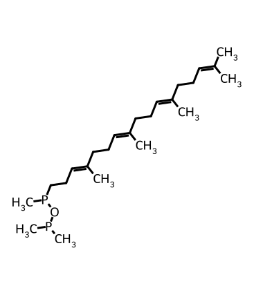 CC(C)=CCC/C(C)=C/CC/C(C)=C/CC/C(C)=C/CCP(C)OP(C)C